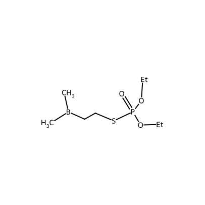 CCOP(=O)(OCC)SCCB(C)C